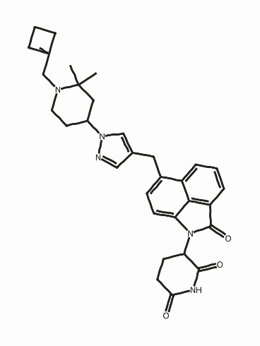 CC1(CN2CCC(n3cc(Cc4ccc5c6c(cccc46)C(=O)N5C4CCC(=O)NC4=O)cn3)CC2(C)C)CCC1